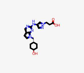 O=C(O)CCn1cc(Nc2ncc3ccn(C[C@H]4CC[C@H](O)CC4)c3n2)cn1